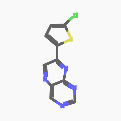 Clc1ccc(-c2cnc3cncnc3n2)s1